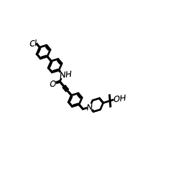 CC(C)(O)C1CCN(Cc2ccc(C#CC(=O)Nc3ccc(-c4ccc(Cl)cc4)cc3)cc2)CC1